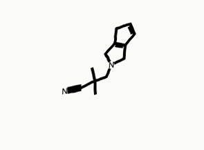 CC(C)(C#N)CN1CC2=C(CC=C2)C1